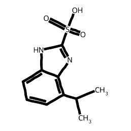 CC(C)c1cccc2[nH]c(S(=O)(=O)O)nc12